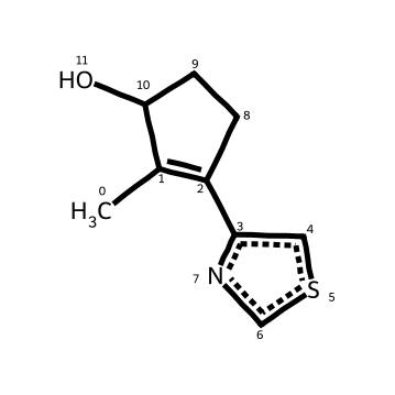 CC1=C(c2cscn2)CCC1O